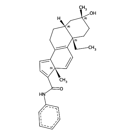 CC[C@]12CC[C@@](C)(O)C[C@H]1CCC1=C2C=C[C@]2(C)C(C(=O)Nc3ccccc3)=CC=C12